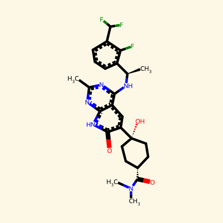 Cc1nc(N[C@H](C)c2cccc(C(F)F)c2F)c2cc([C@]3(O)CC[C@@H](C(=O)N(C)C)CC3)c(=O)[nH]c2n1